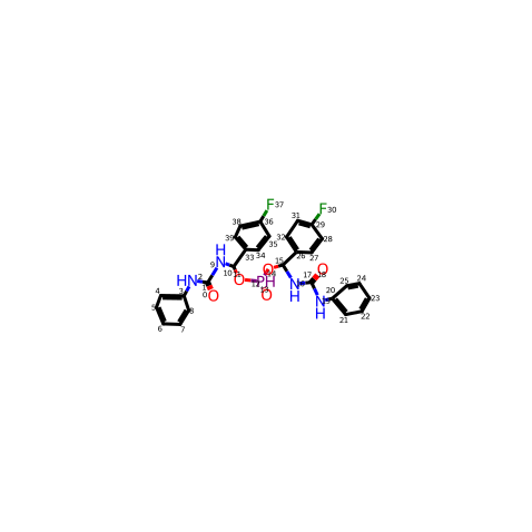 O=C(Nc1ccccc1)NC(O[PH](=O)OC(NC(=O)Nc1ccccc1)c1ccc(F)cc1)c1ccc(F)cc1